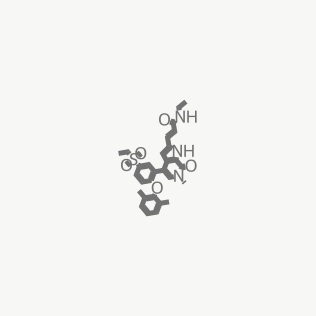 CCNC(=O)/C=C/c1cc2c(-c3cc(S(=O)(=O)CC)ccc3Oc3c(C)cccc3C)cn(C)c(=O)c2[nH]1